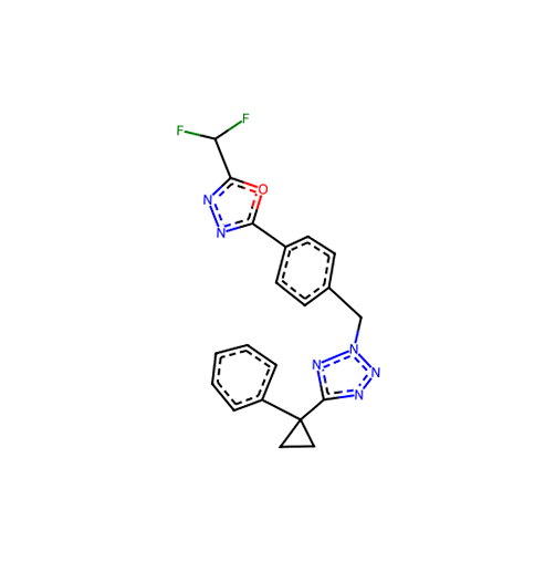 FC(F)c1nnc(-c2ccc(Cn3nnc(C4(c5ccccc5)CC4)n3)cc2)o1